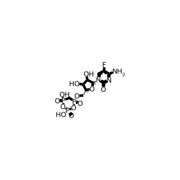 Nc1nc(=O)n([C@@H]2O[C@H](COP3(=O)CP(=O)(O)OP(=O)(O)O3)C(O)C2O)cc1F